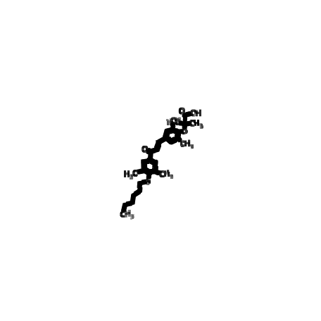 CCCCCCSc1c(C)cc(C(=O)/C=C/c2cc(C)c(OC(C)(C)C(=O)O)c(C)c2)cc1C